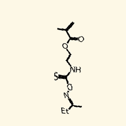 C=C(C)C(=O)OCCNC(=S)ON=C(C)CC